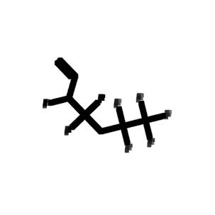 C=CC(F)C(F)(F)CC(F)(F)C(F)(F)F